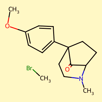 CBr.COc1ccc(C23CCC(C2=O)N(C)CC3)cc1